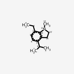 CCc1ccc(C(C)C)c2c1N(C)CC2